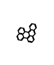 [c]1c2ccccc2c2c3cccc4cccc(c5cccc1c52)c43